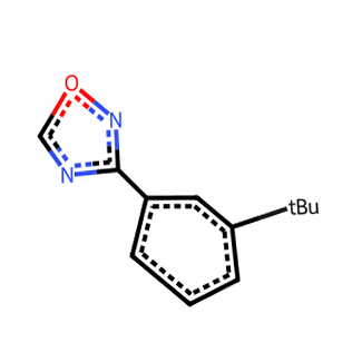 CC(C)(C)c1cccc(-c2ncon2)c1